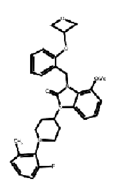 COc1cccc2c1n(Cc1ccccc1OC1COC1)c(=O)n2C1CCN(c2c(C)cccc2F)CC1